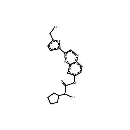 O=C(Nc1ccc2ncc(-c3ccc(CO)s3)nc2n1)N(S)C1CCCC1